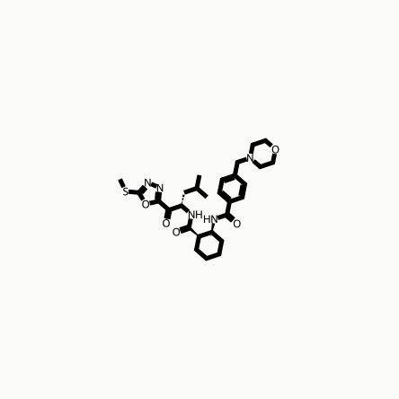 CSc1nnc(C(=O)[C@H](CC(C)C)NC(=O)[C@@H]2CCCC[C@@H]2NC(=O)c2ccc(CN3CCOCC3)cc2)o1